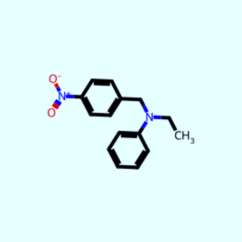 CCN(Cc1ccc([N+](=O)[O-])cc1)c1ccccc1